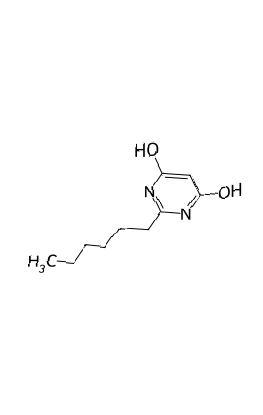 CCCCCCc1nc(O)cc(O)n1